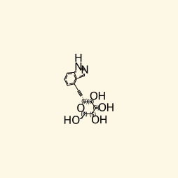 OC[C@H]1O[C@H](C#Cc2cccc3[nH]ncc23)[C@@H](O)[C@@H](O)[C@@H]1O